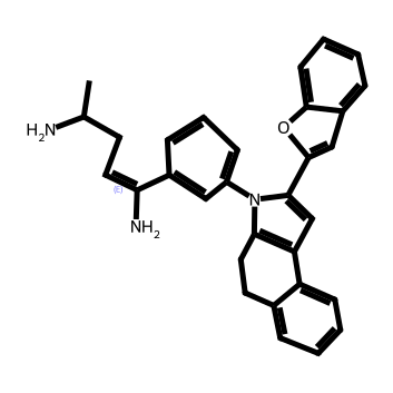 CC(N)C/C=C(/N)c1cccc(-n2c(-c3cc4ccccc4o3)cc3c2CCc2ccccc2-3)c1